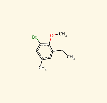 CCc1cc(C)cc(Br)c1OC